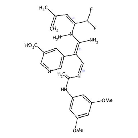 C=C(C)/C=C(/C(F)F)N(N)/C(N)=C(/C=N\C(=C)Nc1cc(OC)cc(OC)c1)c1cncc(C(=O)O)c1